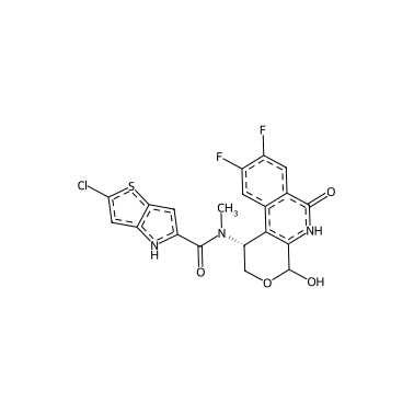 CN(C(=O)c1cc2sc(Cl)cc2[nH]1)[C@H]1COC(O)c2[nH]c(=O)c3cc(F)c(F)cc3c21